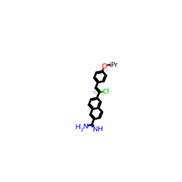 CC(C)Oc1ccc(/C=C(\Cl)c2ccc3cc(C(=N)N)ccc3c2)cc1